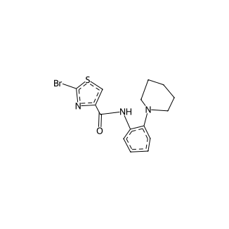 O=C(Nc1ccccc1N1CCCCC1)c1csc(Br)n1